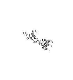 CCOC(=O)C(=Cc1ccc(OCC=C[Si](OC)(O[SiH3])[SiH2]O[SiH](C)C)cc1)C(=O)OCC